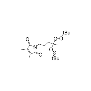 CC1=C(C)C(=O)N(CCCC(C)(OOC(C)(C)C)OOC(C)(C)C)C1=O